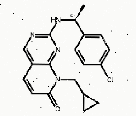 C[C@H](Nc1ncc2ccc(=O)n(CC3CC3)c2n1)c1ccc(Cl)cc1